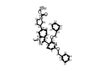 Cn1nc(-c2ccc(OCc3ccccc3)nc2OCc2ccccc2)c2ccc(C3CCN(C(=O)OC(C)(C)C)C3)cc21